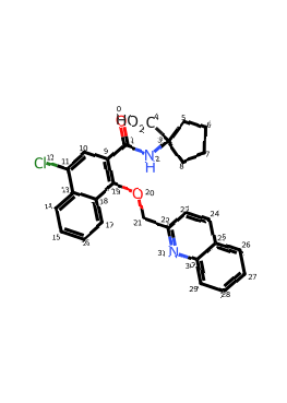 O=C(NC1(C(=O)O)CCCC1)c1cc(Cl)c2ccccc2c1OCc1ccc2ccccc2n1